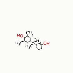 Cc1cc(C(C)(C)c2cccc(O)c2)cc(C)c1O